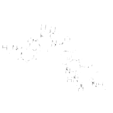 Cc1oc2c(N)cccc2c1CN(C)C(=O)/C=C/c1cnc2c(c1)CCC(N)C(=O)N2